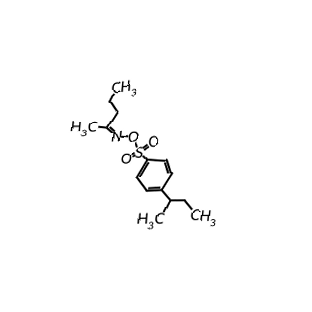 CCCC(C)=NOS(=O)(=O)c1ccc(C(C)CC)cc1